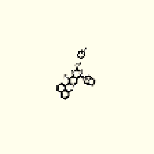 Cc1cccc2cccc(-c3ncc4c(N5CC6CCC(C5)N6)nc(OC[C@@H]5CCN(C)C5)nc4c3F)c12